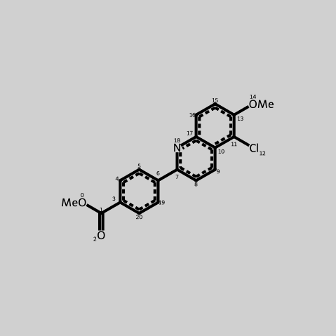 COC(=O)c1ccc(-c2ccc3c(Cl)c(OC)ccc3n2)cc1